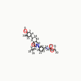 COc1ccc([C@H]2CC[C@H](CN(C(=O)CC(C)(C)C)c3cccc(/C=C/C(=O)OC(C)C)c3)CC2)cc1C